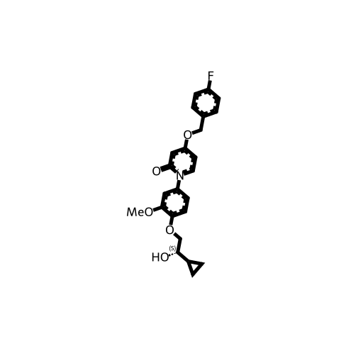 COc1cc(-n2ccc(OCc3ccc(F)cc3)cc2=O)ccc1OC[C@@H](O)C1CC1